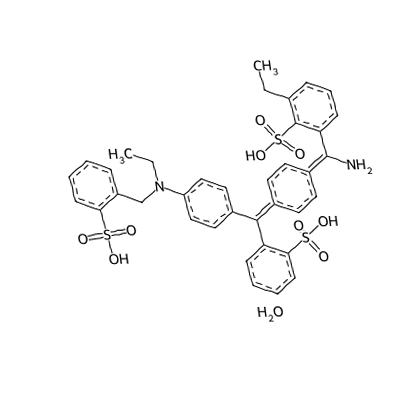 CCc1cccc(C(N)=c2ccc(=C(c3ccc(N(CC)Cc4ccccc4S(=O)(=O)O)cc3)c3ccccc3S(=O)(=O)O)cc2)c1S(=O)(=O)O.O